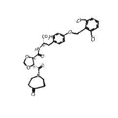 O=C1CCN(C(=O)[C@@H]2OCO[C@H]2C(=O)N[C@@H](Cc2ccc(OCc3c(Cl)cccc3Cl)cc2)C(=O)O)CC1